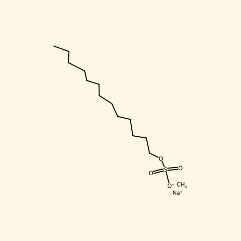 C.CCCCCCCCCCCCCOS(=O)(=O)[O-].[Na+]